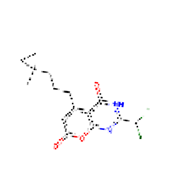 CC1(CCCc2cc(=O)oc3nc(C(F)F)[nH]c(=O)c23)CC1